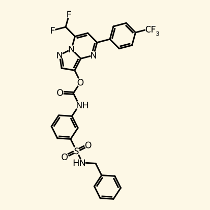 O=C(Nc1cccc(S(=O)(=O)NCc2ccccc2)c1)Oc1cnn2c(C(F)F)cc(-c3ccc(C(F)(F)F)cc3)nc12